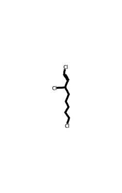 ClC=CC(Cl)CCCCCCl